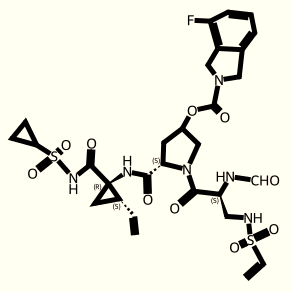 C=C[C@@H]1C[C@]1(NC(=O)[C@@H]1CC(OC(=O)N2Cc3cccc(F)c3C2)CN1C(=O)[C@H](CNS(=O)(=O)C=C)NC=O)C(=O)NS(=O)(=O)C1CC1